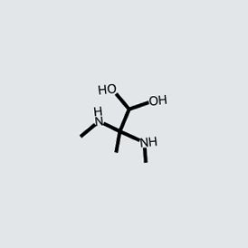 CNC(C)(NC)C(O)O